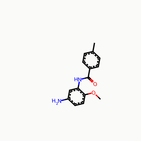 COc1ccc(N)cc1NC(=O)c1ccc(C)cc1